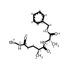 C[C@H](NC(=O)[C@@H](C)CCC(=O)NC(C)(C)C)C(=O)OCc1ccccc1